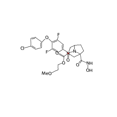 COCCOC(=O)N1CC2CCC(C(=O)NO)(C1)N2C(=O)c1cc(F)c(Oc2ccc(Cl)cc2)c(F)c1